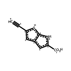 C#Cc1cc2cc(C(=O)O)[nH]c2s1